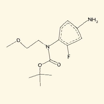 COCCN(C(=O)OC(C)(C)C)c1ccc(N)cc1F